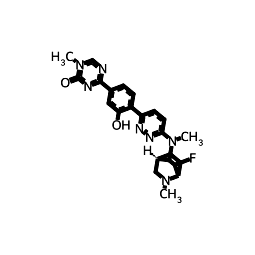 CN1C[C@H]2CCC1C(F)C2N(C)c1ccc(-c2ccc(-c3ncn(C)c(=O)n3)cc2O)nn1